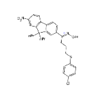 CCCC1(CCC)c2cc(/C(CCCSc3ccc(Cl)cc3)=N/OC(C)=O)ccc2-c2ccc([N+](=O)[O-])cc21